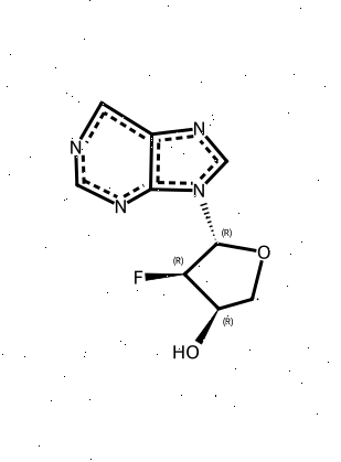 O[C@@H]1[CH]O[C@@H](n2cnc3cncnc32)[C@@H]1F